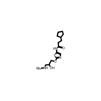 CC(C)(C)NCC(O)COc1ncc(NC(=O)CCC2CCCC2)s1